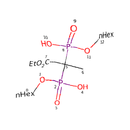 CCCCCCOP(=O)(O)C(C)(C(=O)OCC)P(=O)(O)OCCCCCC